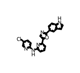 Clc1ccc(Nc2cccc(-c3cnc(-c4ccc5[nH]ccc5c4)o3)n2)nc1